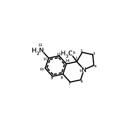 CC12CCCN1CCc1ccc(N)cc12